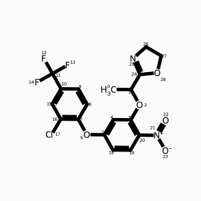 CC(Oc1cc(Oc2ccc(C(F)(F)F)cc2Cl)ccc1[N+](=O)[O-])C1=NCCO1